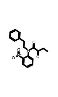 CCC(=O)C(=O)N(CCc1ccccc1)c1ccccc1[N+](=O)[O-]